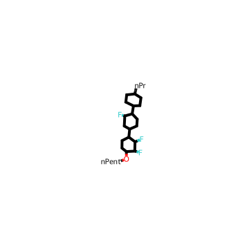 CCCCCOC1CCC(C2CCC(C3CCC(CCC)CC3)C(F)C2)C(F)C1F